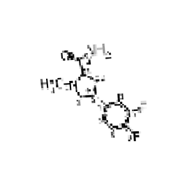 CN1C[C@@H](c2ccc(F)c(F)c2)[CH]C1C(N)=O